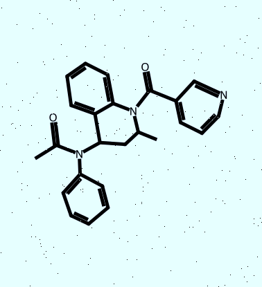 CC(=O)N(c1ccccc1)C1CC(C)N(C(=O)c2cccnc2)c2ccccc21